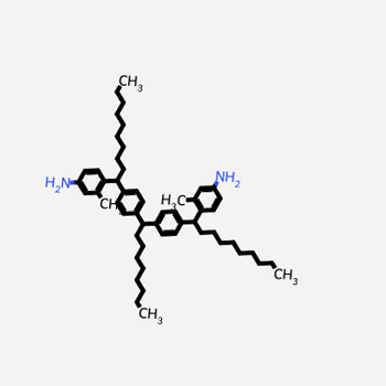 CCCCCCCCCC(c1ccc(C(CCCCCCCC)c2ccc(C(CCCCCCCCC)c3ccc(N)cc3C)cc2)cc1)c1ccc(N)cc1C